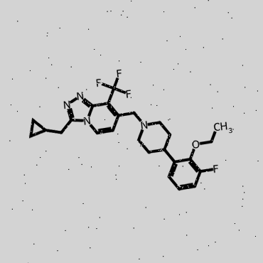 CCOc1c(F)cccc1C1CCN(Cc2ccn3c(CC4CC4)nnc3c2C(F)(F)F)CC1